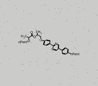 CCCCCOC(C)C(=O)OC(C)COc1ccc(-c2ncc(-c3ccc(CCCCC)cc3)cn2)cc1